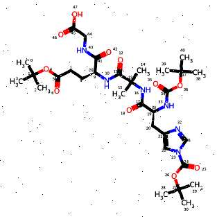 CC(C)(C)OC(=O)CC[C@H](NC(=O)C(C)(C)NC(=O)[C@H](Cc1cn(C(=O)OC(C)(C)C)cn1)NC(=O)OC(C)(C)C)C(=O)NCC(=O)O